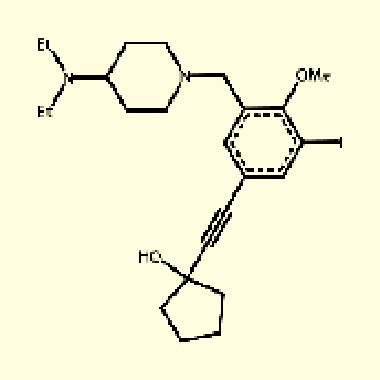 CCN(CC)C1CCN(Cc2cc(C#CC3(O)CCCC3)cc(I)c2OC)CC1